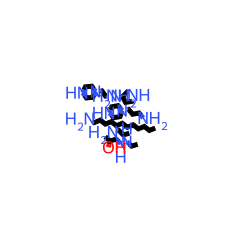 CCCCCCCCCCCCN.CCCN.CCNNCC(C)O.NC1CCNC1.NCCCN1CCNCC1.NCCN1CCNCC1